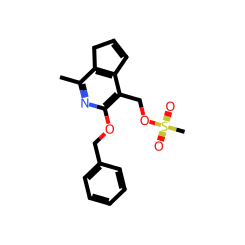 Cc1nc(OCc2ccccc2)c(COS(C)(=O)=O)c2c1CC=C2